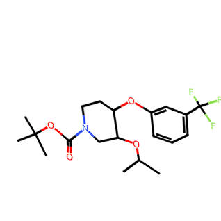 CC(C)OC1CN(C(=O)OC(C)(C)C)CCC1Oc1cccc(C(F)(F)F)c1